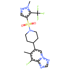 Cc1c(C2CCN(S(=O)(=O)c3cnn(C)c3C(F)(F)F)CC2)cn2ncnc2c1F